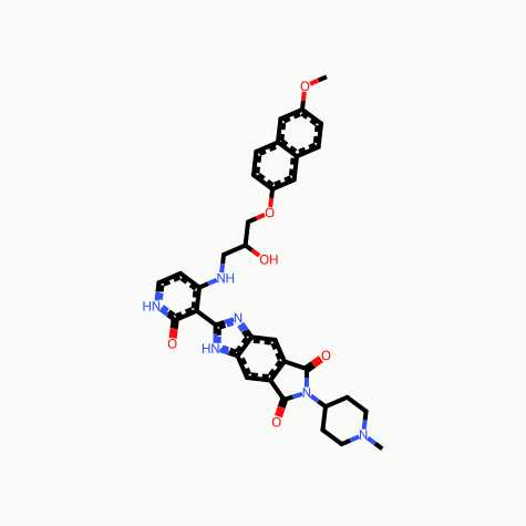 COc1ccc2cc(OCC(O)CNc3cc[nH]c(=O)c3-c3nc4cc5c(cc4[nH]3)C(=O)N(C3CCN(C)CC3)C5=O)ccc2c1